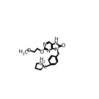 COCCOc1ncc2[nH]c(=O)n(Cc3ccc(CN4CCC[SiH2]4)cc3)c2n1